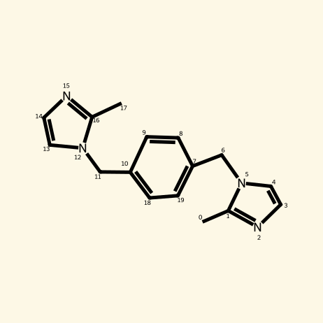 Cc1nccn1Cc1ccc(Cn2ccnc2C)cc1